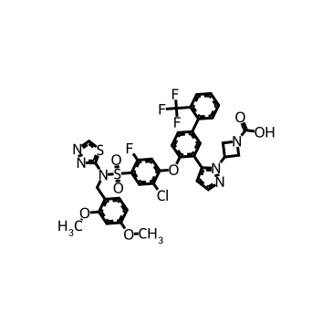 COc1ccc(CN(c2nncs2)S(=O)(=O)c2cc(Cl)c(Oc3ccc(-c4ccccc4C(F)(F)F)cc3-c3ccnn3C3CN(C(=O)O)C3)cc2F)c(OC)c1